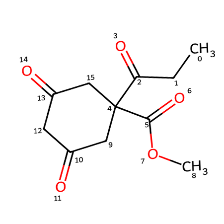 CCC(=O)C1(C(=O)OC)CC(=O)CC(=O)C1